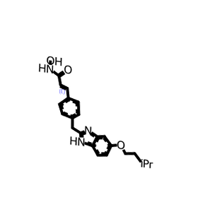 CC(C)CCOc1ccc2[nH]c(Cc3ccc(/C=C/C(=O)NO)cc3)nc2c1